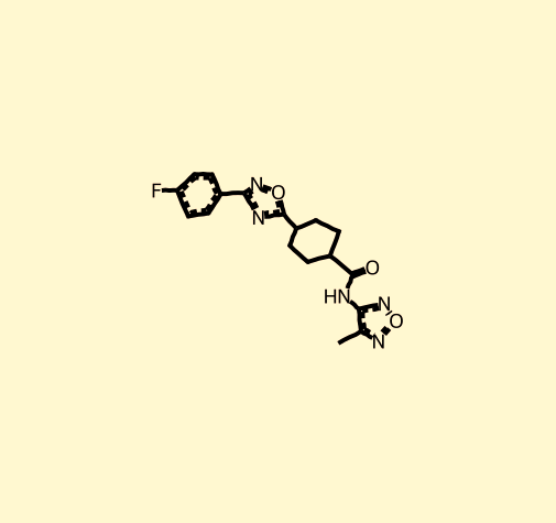 Cc1nonc1NC(=O)C1CCC(c2nc(-c3ccc(F)cc3)no2)CC1